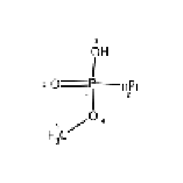 CCCP(=O)(O)OC(F)(F)F